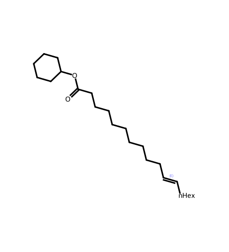 CCCCCC/C=C/CCCCCCCCCC(=O)OC1CCCCC1